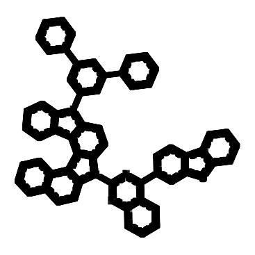 c1ccc(-c2cc(-c3ccccc3)cc(-n3c4ccccc4c4c5c6c7ccccc7ccc6n(-c6nc(-c7ccc8c(c7)oc7ccccc78)c7ccccc7n6)c5ccc43)c2)cc1